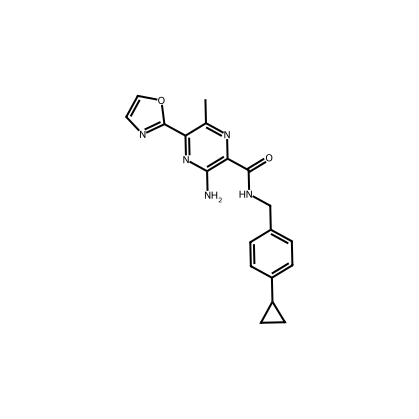 Cc1nc(C(=O)NCc2ccc(C3CC3)cc2)c(N)nc1-c1ncco1